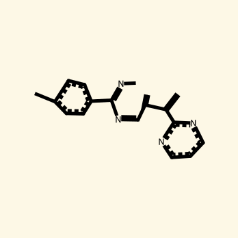 C=C(/C=N\C(=N/C)c1ccc(C)cc1)C(=C)c1ncccn1